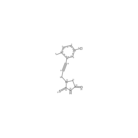 Cc1ccc(Cl)cc1C#CCN1CC(=O)NC1=S